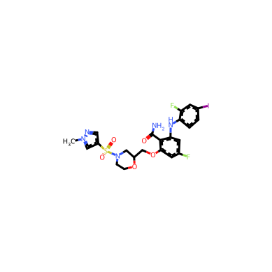 Cn1cc(S(=O)(=O)N2CCOC(COc3cc(F)cc(Nc4ccc(I)cc4F)c3C(N)=O)C2)cn1